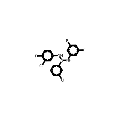 Fc1cc(F)cc(NN(Nc2ccc(F)c(Cl)c2)c2cccc(Cl)c2)c1